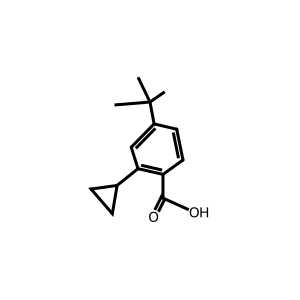 CC(C)(C)c1ccc(C(=O)O)c(C2CC2)c1